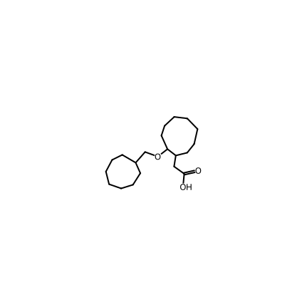 O=C(O)CC1CCCCCCCC1OCC1CCCCCCC1